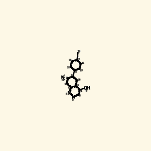 Oc1cnnc2ccc(-c3ccc(F)cc3)cc12.[N]